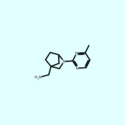 Cc1ccnc(N2CC3(CN)CCC2C3)n1